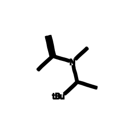 C=C(C)N(C)C(C)C(C)(C)C